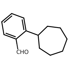 O=Cc1ccccc1C1CCCCCC1